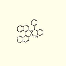 CCCOc1ccc2ccccc2c1-c1c(OC(c2ccccc2)c2ccccc2)ccc2ccccc12